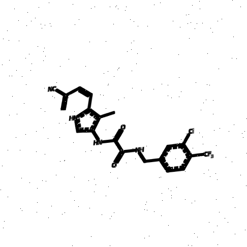 C=C(C#N)/C=C\c1[nH]cc(NC(=O)C(=O)NCc2ccc(C(F)(F)F)c(Cl)c2)c1C